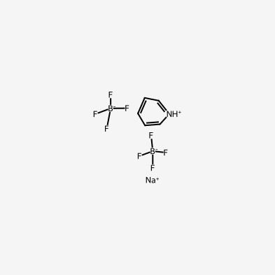 F[B-](F)(F)F.F[B-](F)(F)F.[Na+].c1cc[nH+]cc1